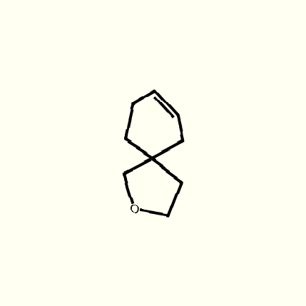 C1=CCC2(CC1)CCOC2